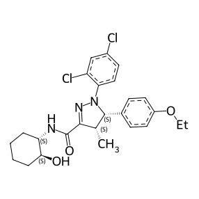 CCOc1ccc([C@@H]2[C@H](C)C(C(=O)N[C@H]3CCCC[C@@H]3O)=NN2c2ccc(Cl)cc2Cl)cc1